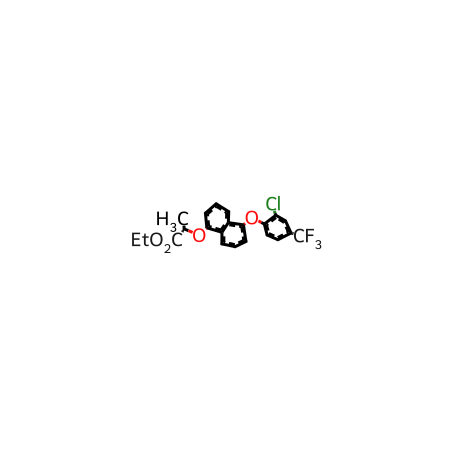 CCOC(=O)[C@@H](C)Oc1cccc2c(Oc3ccc(C(F)(F)F)cc3Cl)cccc12